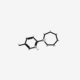 Cc1ccc(N2CCCCCC2)nc1